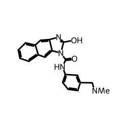 CNCc1cccc(NC(=O)n2c(O)nc3cc4ccccc4cc32)c1